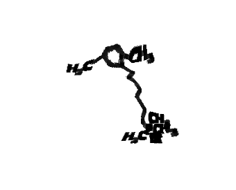 Cc1ccc(C)c(CCCCCCP(C)(C)(C)Br)c1